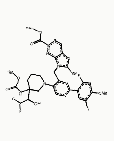 COc1cc(F)c(-c2cc(Cn3c(C(C)(C)C)nc4cnc(C(=O)OC(C)(C)C)nc43)c(N3CCCC(NC(=O)OC(C)(C)C)(C(O)C(F)F)C3)cn2)cc1F